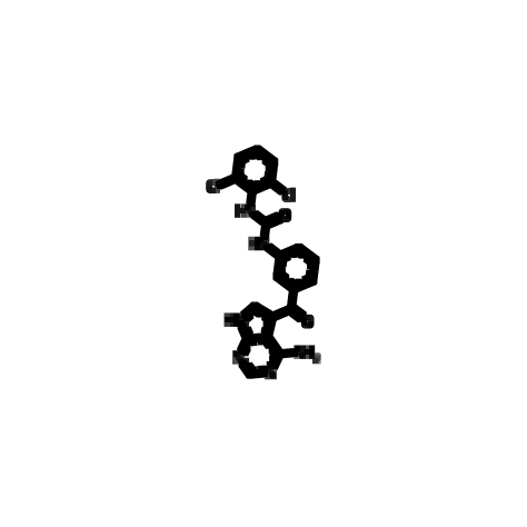 Nc1ncnc2[nH]cc(C(=O)c3cccc(NC(=O)Nc4c(Cl)cccc4Cl)c3)c12